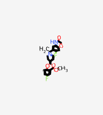 C=C(c1cc2c(cc1F)OCC(=O)N2)N1CCC(COc2ccc(F)cc2C(=O)OC)CC1